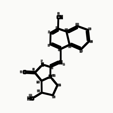 N#Cc1ccc(/N=C2\SC(=O)C3C(O)CCN23)c2ccccc12